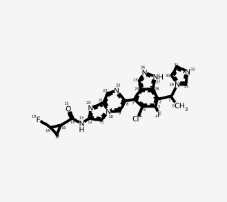 CC(c1c(F)c(Cl)c(-c2cn3cc(NC(=O)C4CC4F)nc3cn2)c2cn[nH]c12)n1ccnc1